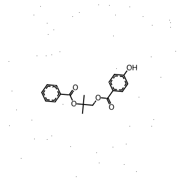 CC(C)(COC(=O)c1ccc(O)cc1)OC(=O)c1ccccc1